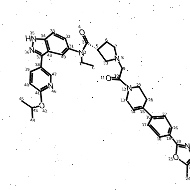 CCN(C(=O)[C@@H]1CCN(CC(=O)N2CC=C(c3ccc(-c4nnc(C)o4)cc3)CC2)C1)c1ccc2[nH]nc(-c3ccc(OC(C)C)nc3)c2c1